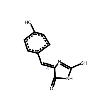 O=C1NC(S)=N/C1=C\c1ccc(O)cc1